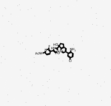 CC(=O)Nc1ccc(-c2cnc(C3(O)CCc4cc(-c5cc(Cl)ccc5N)c[n+](O)c43)[nH]2)c(F)n1